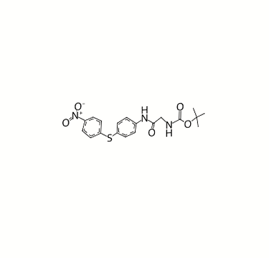 CC(C)(C)OC(=O)NCC(=O)Nc1ccc(Sc2ccc([N+](=O)[O-])cc2)cc1